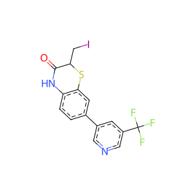 O=C1Nc2ccc(-c3cncc(C(F)(F)F)c3)cc2SC1CI